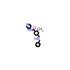 CC1CC(CNCc2ccccc2)CCC1C(=O)Nc1ccncc1